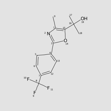 Cc1nc(-c2ccc(C(F)(F)F)cc2)oc1C(C)(C)O